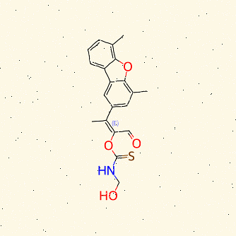 C/C(=C(/C=O)OC(=S)NCO)c1cc(C)c2oc3c(C)cccc3c2c1